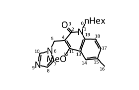 CCCCCCn1c(=O)c(Cn2ccnc2)c(OC)c2cc(C)ccc21